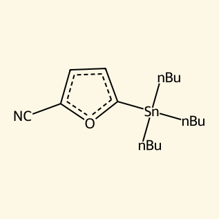 CCC[CH2][Sn]([CH2]CCC)([CH2]CCC)[c]1ccc(C#N)o1